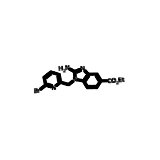 CCOC(=O)c1ccc2c(c1)nc(N)n2Cc1cccc(Br)n1